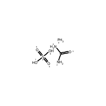 NC(N)=O.O=S(=O)(O)O.P